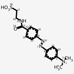 CN(C)c1ccc(/N=N/c2ccc(C(=O)NCCS(=O)(=O)O)cc2)cc1